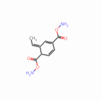 CC=C1C=C(C(=O)ON)C=CC1C(=O)ON